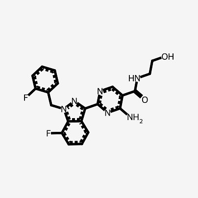 Nc1nc(-c2nn(Cc3ccccc3F)c3c(F)cccc23)ncc1C(=O)NCCO